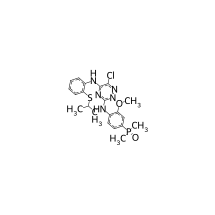 COc1cc(P(C)(C)=O)ccc1Nc1nnc(Cl)c(Nc2ccccc2SC(C)C)n1